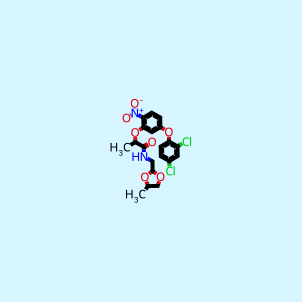 CC1COC(CNC(=O)C(C)Oc2cc(Oc3ccc(Cl)cc3Cl)ccc2[N+](=O)[O-])O1